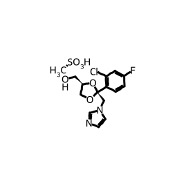 CS(=O)(=O)O.OC[C@@H]1CO[C@@](Cn2ccnc2)(c2ccc(F)cc2Cl)O1